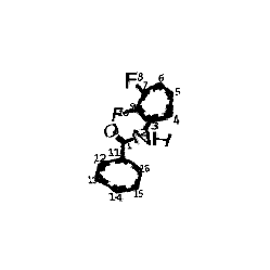 O=C(Nc1cccc(F)c1F)c1[c]cccc1